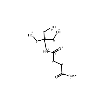 COC(=O)CCC(=O)NC(CO)(CO)CO